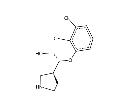 OC[C@H](Oc1cccc(Cl)c1Cl)[C@H]1CCNC1